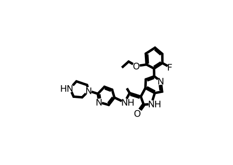 CCOc1cccc(F)c1-c1cc2c(cn1)NC(=O)/C2=C(/C)Nc1ccc(N2CCNCC2)nc1